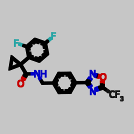 O=C(NCc1ccc(-c2noc(C(F)(F)F)n2)cc1)C1(c2ccc(F)cc2F)CC1